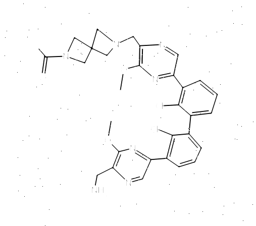 COc1nc(-c2cccc(-c3cccc(-c4cnc(CN5CC6(C5)CN(C(C)=O)C6)c(OC)n4)c3Cl)c2Cl)cnc1CN